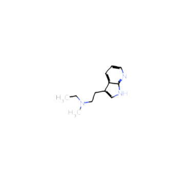 CCN(C)CCc1c[nH]c2ncccc12